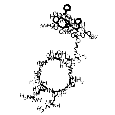 CO[C@@H]1C(=O)[C@@]2(C)[C@H](OC)C[C@@H]3OC[C@]3(OC(C)=O)[C@@H]2[C@@H](OC(=O)c2ccccc2)[C@@]2(O)CC(OC(=O)C(OC(=O)OCCSSC[C@H](NC(=O)[C@@H]3CSSC[C@H](N)C(=O)NCC(=O)N[C@@H](CCCNC(=N)N)C(=O)N[C@@H](CCCNC(=N)N)C(=O)N[C@@H](C)C(=O)NCC(=O)NCC(=O)N[C@@H](CO)C(=O)N3)C(N)=O)[C@H](NC(=O)OC(C)(C)C)c3ccccc3)C(C)=C1C2(C)C